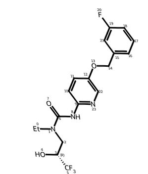 CCN(C[C@@H](O)C(F)(F)F)C(=O)Nc1ccc(OCc2cccc(F)c2)cn1